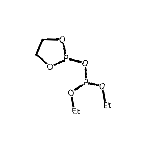 CCOP(OCC)OP1OCCO1